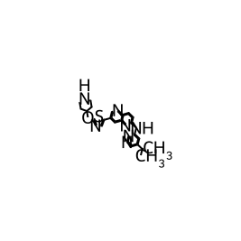 CC(C)c1cnnc(Nc2ccc3ncc(-c4cnc(OC5CCNCC5)s4)cc3n2)c1